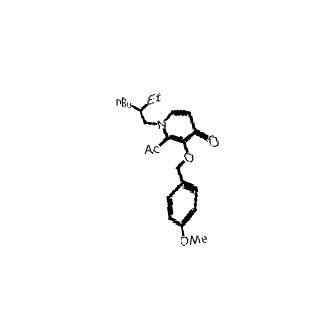 CCCCC(CC)Cn1ccc(=O)c(OCc2ccc(OC)cc2)c1C(C)=O